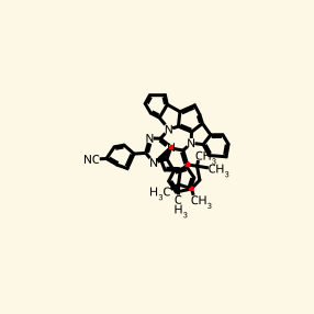 CC1CC(C)(C)c2c(-n3c4ccccc4c4ccc5c6ccccc6n(-c6nc(-c7ccccc7)nc(-c7ccc(C#N)cc7)n6)c5c43)cccc2C1(C)C